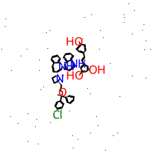 C1=CNc2ccccc2C=C1.C1=CNc2ccccc2C=C1.CN1CCC[C@@H]1CCO[C@](C)(c1ccccc1)c1ccc(Cl)cc1.Oc1ccc(/C=C/c2cc(O)cc(O)c2)cc1